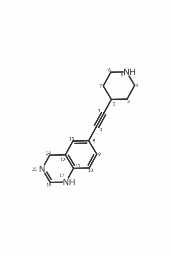 C(#CC1CCNCC1)c1ccc2c(c1)[CH]N=CN2